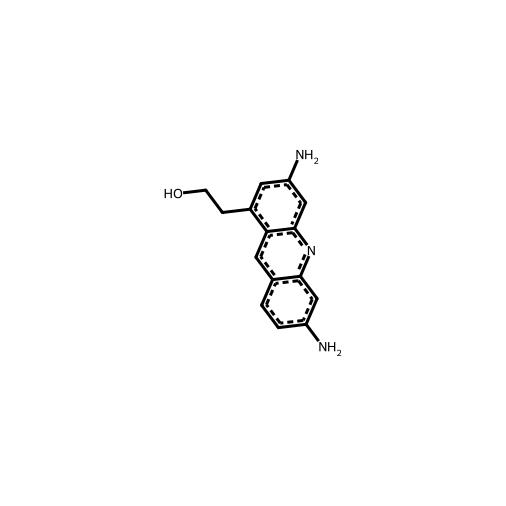 Nc1ccc2cc3c(CCO)cc(N)cc3nc2c1